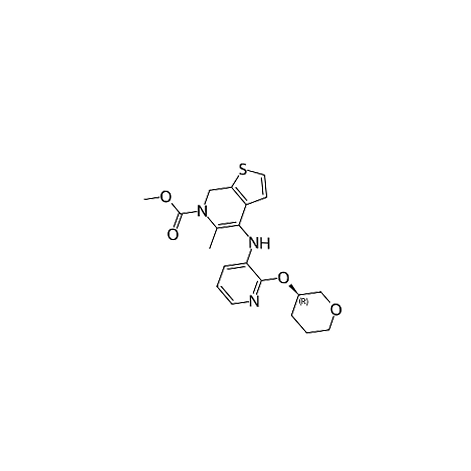 COC(=O)N1Cc2sccc2C(Nc2cccnc2O[C@@H]2CCCOC2)=C1C